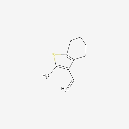 C=Cc1c(C)sc2c1CCCC2